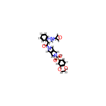 O=C([C@@H](CNC1COC1)c1ccccc1)N1CC2=C(C1)CN(S(=O)(=O)c1ccc3c(c1)OCCO3)C2